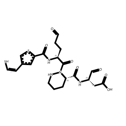 O=CCC[C@H](NC(=O)c1cc(/C=C\S)cs1)C(=O)N1NCCC[C@H]1C(=O)N[C@H](C=O)CC(=O)O